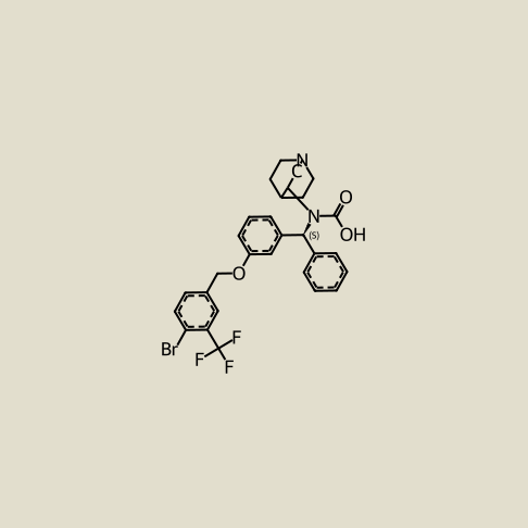 O=C(O)N(C1CN2CCC1CC2)[C@@H](c1ccccc1)c1cccc(OCc2ccc(Br)c(C(F)(F)F)c2)c1